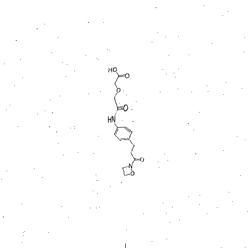 O=C(O)COCC(=O)Nc1ccc(CCC(=O)N2CCO2)cc1